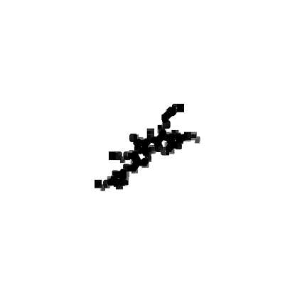 C#CCON=C(C(=O)NC1C(=O)N2C(C(=O)O)=C(CSc3nnc(C)s3)CS[C@@H]12)c1nc(N)sc1Cl